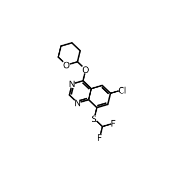 FC(F)Sc1cc(Cl)cc2c(OC3CCCCO3)ncnc12